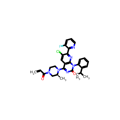 C=CC(=O)N1CCN(c2nc(=O)n(-c3ccccc3C(C)C)c3nc(-c4ncccc4F)c(Cl)cc23)[C@@H](C)C1